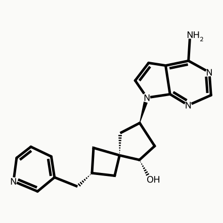 Nc1ncnc2c1ccn2[C@H]1C[C@H](O)[C@]2(C1)C[C@@H](Cc1cccnc1)C2